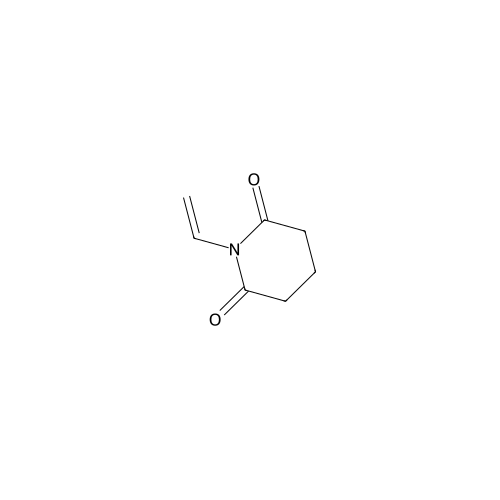 C=CN1C(=O)CCCC1=O